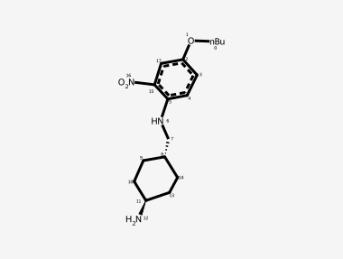 CCCCOc1ccc(NC[C@H]2CC[C@H](N)CC2)c([N+](=O)[O-])c1